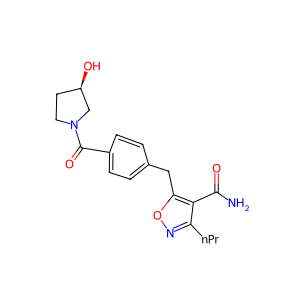 CCCc1noc(Cc2ccc(C(=O)N3CC[C@@H](O)C3)cc2)c1C(N)=O